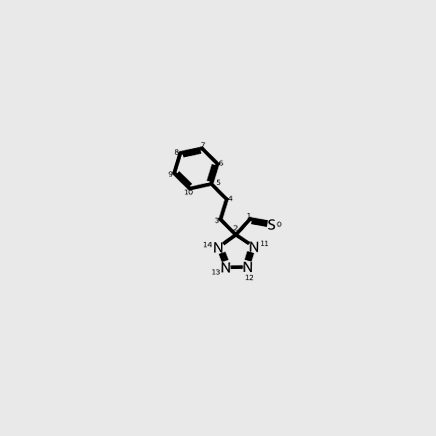 S=CC1(CCc2ccccc2)N=NN=N1